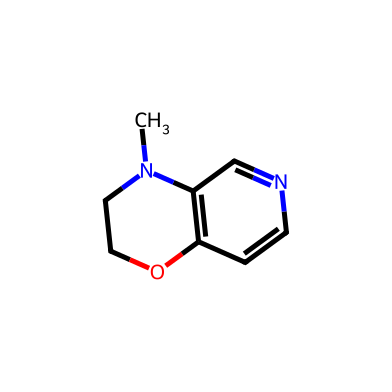 CN1CCOc2ccncc21